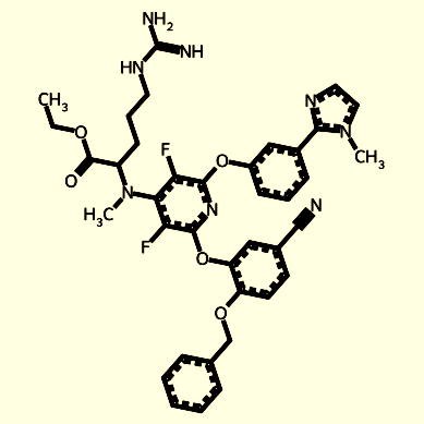 CCOC(=O)C(CCCNC(=N)N)N(C)c1c(F)c(Oc2cccc(-c3nccn3C)c2)nc(Oc2cc(C#N)ccc2OCc2ccccc2)c1F